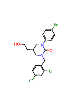 O=C1N(Cc2ccc(Cl)cc2Cl)CC(CCO)CN1c1ccc(Br)cc1